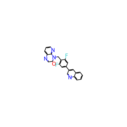 O=c1cnc2cccnc2n1Cc1c(F)cc(-c2cnc3ccccc3c2)cc1F